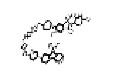 O=C1CCC(N2C(=O)c3cc(F)c(N4CCC(CN5CC6(C5)CN(C[C@H]5C[C@H](Oc7ccc(-c8ccc9c%10cnccc%10n(C(F)F)c9c8)cn7)C5)C6)CC4)cc3C2=O)C(=O)N1